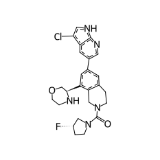 O=C(N1CCc2cc(-c3cnc4[nH]cc(Cl)c4c3)cc([C@@H]3COCCN3)c2C1)N1CC[C@H](F)C1